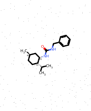 CC(C)[C@@H]1CC[C@@H](C)C[C@@H]1NC(=O)NCc1ccccc1